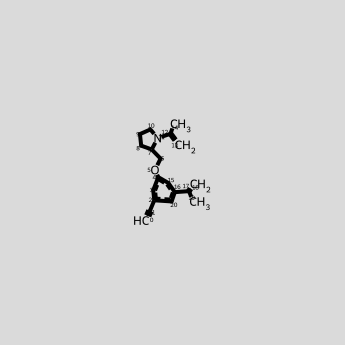 C#Cc1cc(OCC2CCCN2C(=C)C)cc(C(=C)C)c1